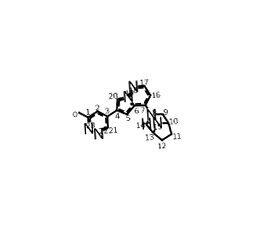 Cc1cc(-c2cc3c(N4CC5CCC(C4)N5)ccnn3c2)cnn1